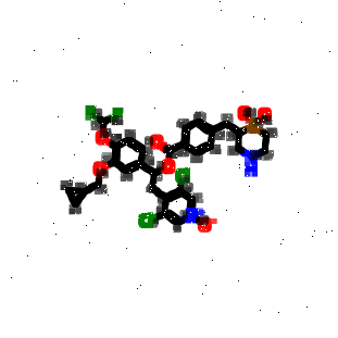 O=C(OC(Cc1c(Cl)c[n+]([O-])cc1Cl)c1ccc(OC(F)F)c(OCC2CC2)c1)c1ccc(CC2CNCCS2(=O)=O)cc1